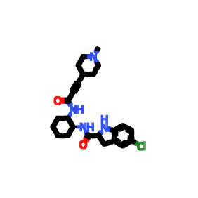 CN1CCC(C#CC(=O)N[C@@H]2CCCC[C@@H]2NC(=O)C2Cc3cc(Cl)ccc3N2)CC1